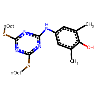 CCCCCCCCSc1nc(Nc2cc(C)c(O)c(C)c2)nc(SCCCCCCCC)n1